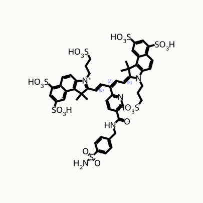 CC1(C)C(/C=C/C(=C/C=C2/N(CCCS(=O)(=O)O)c3ccc4c(S(=O)(=O)O)cc(S(=O)(=O)O)cc4c3C2(C)C)c2ccc(C(=O)NCc3ccc(S(N)(=O)=O)cc3)cn2)=[N+](CCCS(=O)(=O)O)c2ccc3c(S(=O)(=O)O)cc(S(=O)(=O)O)cc3c21